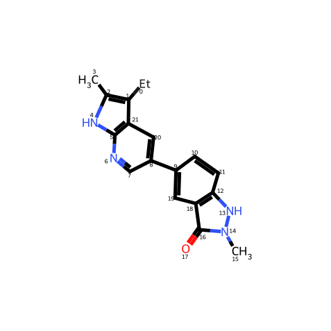 CCc1c(C)[nH]c2ncc(-c3ccc4[nH]n(C)c(=O)c4c3)cc12